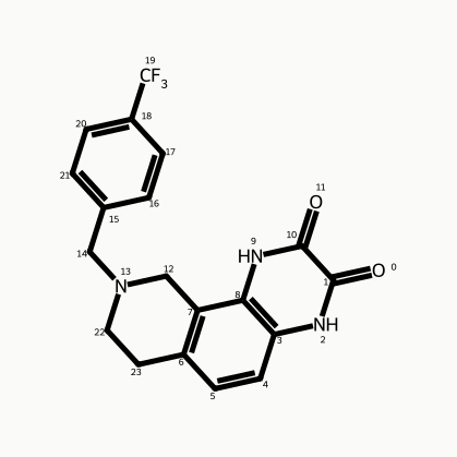 O=c1[nH]c2ccc3c(c2[nH]c1=O)CN(Cc1ccc(C(F)(F)F)cc1)CC3